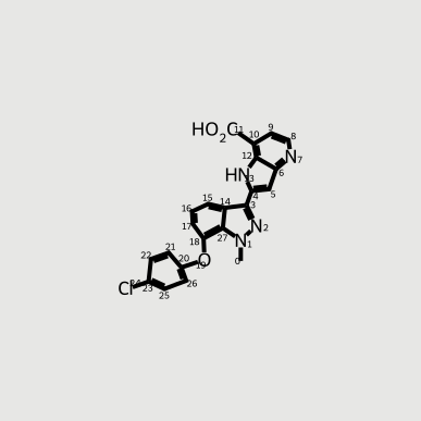 Cn1nc(-c2cc3nccc(C(=O)O)c3[nH]2)c2cccc(Oc3ccc(Cl)cc3)c21